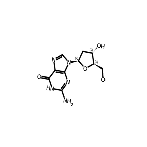 Nc1nc2c(ncn2[C@H]2C[C@H](O)[C@@H](C[O])O2)c(=O)[nH]1